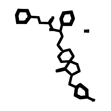 Cl.O=C(CCc1ccccc1)NC(CCN1CCC2(CC1)CCN(Cc1ccc(Br)cc1)C2=O)c1ccccc1